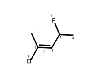 C/C(Cl)=C\C(C)F